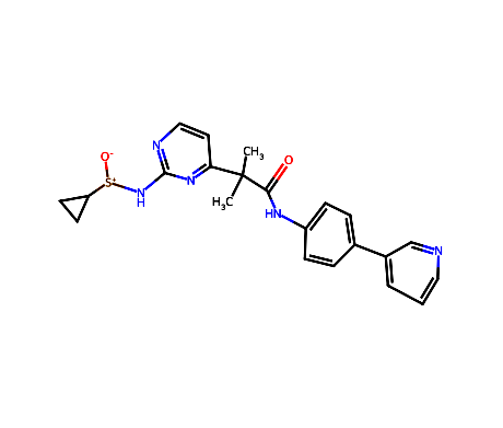 CC(C)(C(=O)Nc1ccc(-c2cccnc2)cc1)c1ccnc(N[S+]([O-])C2CC2)n1